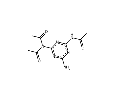 CC(=O)Nc1nc(N)nc(N(C(C)=O)C(C)=O)n1